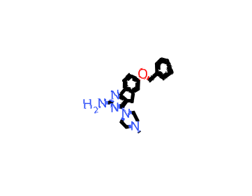 CN1CCN(c2nc(N)nc3c2Cc2cc(OCc4ccccc4)ccc2-3)CC1